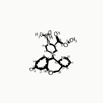 COC(=O)[C@H]1CN(C2c3ccc(Cl)cc3OCc3cccnc32)CCN1B(C)O